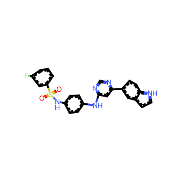 O=S(=O)(Nc1ccc(Nc2cc(-c3ccc4[nH]ccc4c3)ncn2)cc1)c1cccc(F)c1